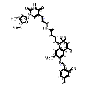 [2H]C[C@H]1O[C@@H](n2cc(/C=C/CNC(=O)CCCN3c4cc(OC)c(/N=N/c5ccc(C)cc5C#N)cc4C(C)=CC3(C)C)c(=O)[nH]c2=O)C[C@H]1O